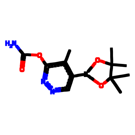 Cc1c(B2OC(C)(C)C(C)(C)O2)cnnc1OC(N)=O